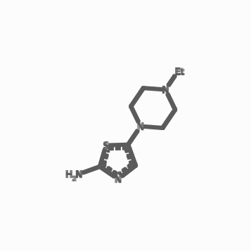 CCN1CCN(c2cnc(N)s2)CC1